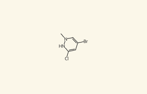 CN1C=C(Br)C=C(Cl)N1